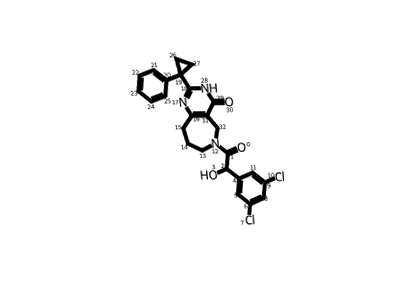 O=C(C(O)c1cc(Cl)cc(Cl)c1)N1CCCc2nc(C3(c4ccccc4)CC3)[nH]c(=O)c2C1